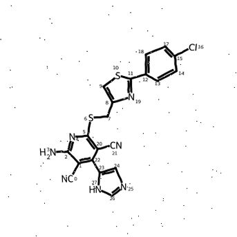 N#Cc1c(N)nc(SCc2csc(-c3ccc(Cl)cc3)n2)c(C#N)c1-c1cnc[nH]1